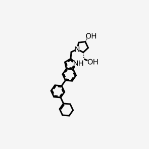 OC[C@H]1C[C@@H](O)CN1Cc1cc2cc(-c3cccc(C4=CCCCC4)c3)ccc2[nH]1